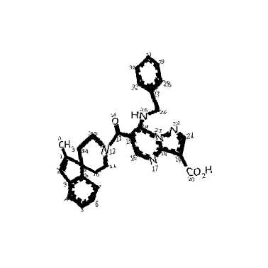 CC1=Cc2ccccc2C12CCN(C(=O)c1cnc3c(C(=O)O)cnn3c1NCc1ccccc1)CC2